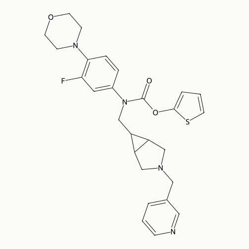 O=C(Oc1cccs1)N(CC1C2CN(Cc3cccnc3)CC21)c1ccc(N2CCOCC2)c(F)c1